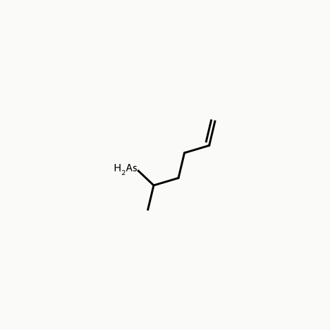 C=CCCC(C)[AsH2]